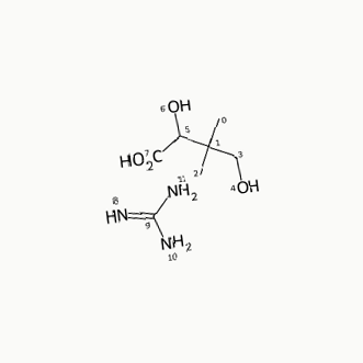 CC(C)(CO)C(O)C(=O)O.N=C(N)N